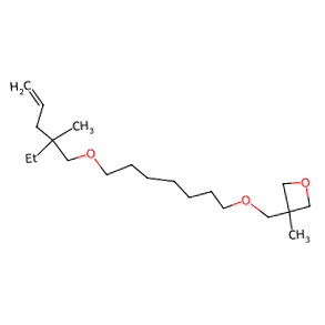 C=CCC(C)(CC)COCCCCCCCOCC1(C)COC1